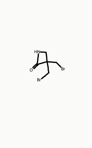 O=C1NCC1(CBr)CBr